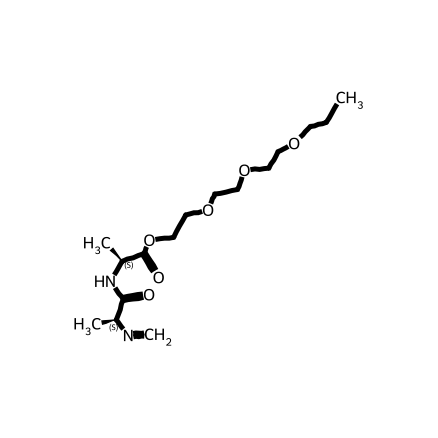 C=N[C@@H](C)C(=O)N[C@@H](C)C(=O)OCCOCCOCCOCCC